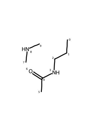 CCCNC(C)=O.CNC